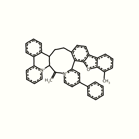 C=C1C2C(CCc3ccc4c(oc5c(C)cccc54)c3-c3cc(-c4ccccc4)cc[n+]31)c1ccccc1-c1cccc[n+]12